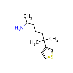 CC(N)CCCC(C)(C)c1ccsc1